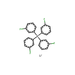 Fc1cccc([B-](c2cccc(F)c2)(c2cccc(F)c2)c2cccc(F)c2)c1.[Li+]